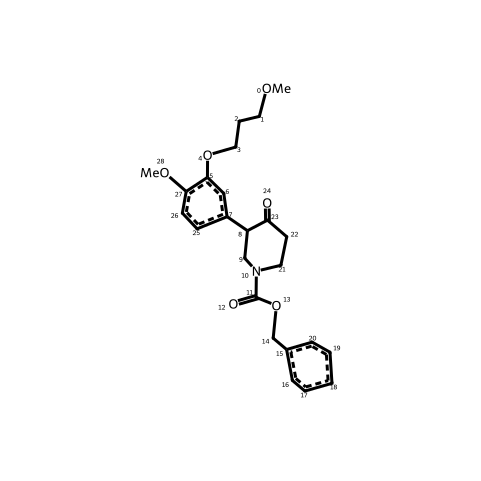 COCCCOc1cc(C2CN(C(=O)OCc3ccccc3)CCC2=O)ccc1OC